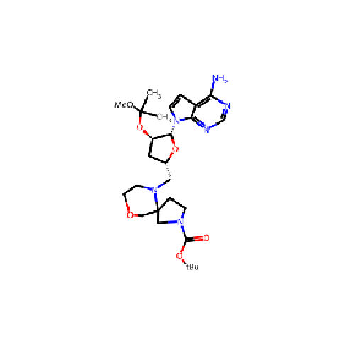 COC(C)(C)O[C@@H]1C[C@@H](CN2CCOCC23CCN(C(=O)OC(C)(C)C)C3)O[C@H]1n1ccc2c(N)ncnc21